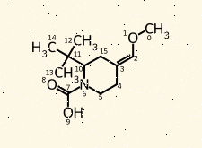 CO/C=C1/CCN(C(=O)O)C(C(C)(C)C)C1